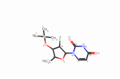 CC(C)(C)[Si](C)(C)OC1C(C(=O)O)OC(n2ccc(=O)[nH]c2=O)C1F